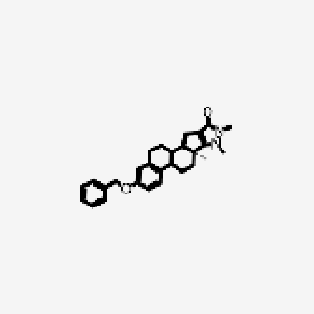 Cn1c2c(c(=O)n1C)CC1C3CCc4cc(OCc5ccccc5)ccc4C3CC[C@]21C